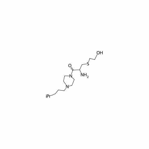 CC(C)CCCN1CCN(C(=O)C(N)CSCCO)CC1